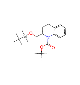 CC(C)(C)OC(=O)N1c2ccccc2CCC1CO[Si](C)(C)C(C)(C)C